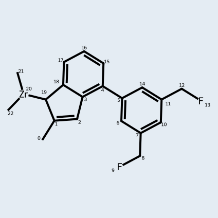 CC1=Cc2c(-c3cc(CF)cc(CF)c3)cccc2[CH]1[Zr]([CH3])[CH3]